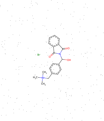 C[N+](C)(C)Cc1ccc(C(O)N2C(=O)c3ccccc3C2=O)cc1.[Br-]